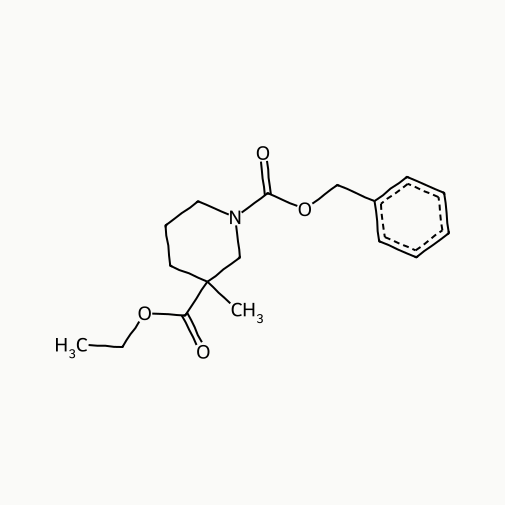 CCOC(=O)C1(C)CCCN(C(=O)OCc2ccccc2)C1